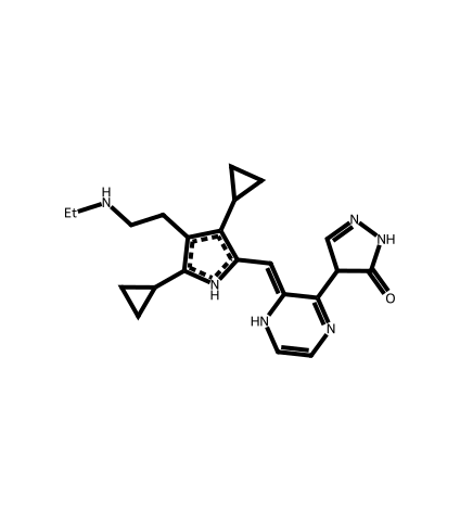 CCNCCc1c(C2CC2)[nH]c(C=C2NC=CN=C2C2C=NNC2=O)c1C1CC1